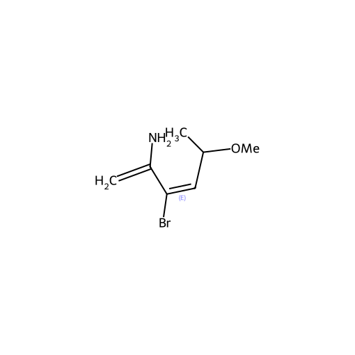 C=C(N)/C(Br)=C\C(C)OC